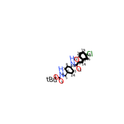 CC(C)(C)OC(=O)NC[C@H]1CC[C@H](NC(=O)c2cc3cc(Cl)ccc3o2)CC1